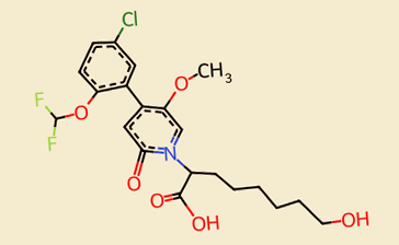 COc1cn(C(CCCCCCO)C(=O)O)c(=O)cc1-c1cc(Cl)ccc1OC(F)F